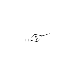 CC1C2=C1N2